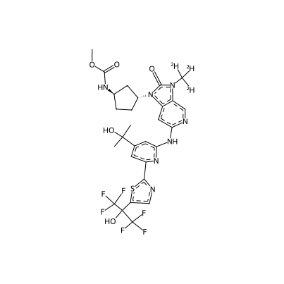 [2H]C([2H])([2H])n1c(=O)n([C@@H]2CC[C@@H](NC(=O)OC)C2)c2cc(Nc3cc(C(C)(C)O)cc(-c4ncc(C(O)(C(F)(F)F)C(F)(F)F)s4)n3)ncc21